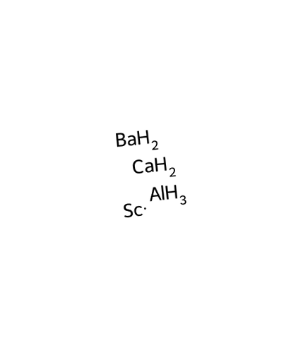 [AlH3].[BaH2].[CaH2].[Sc]